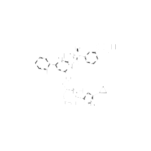 Cc1cccc(C)c1-c1cc(OCC(CC(C)(C)C)NCc2cc(C3CC3)no2)nc(NS(=O)(=O)c2cccc(C(=O)O)c2)n1